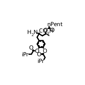 CCCCCC(=O)O[C@@H](C)CC(N)(Cc1ccc(OC(=O)CC(C)C)c(OC(=O)CC(C)C)c1)C(=O)O